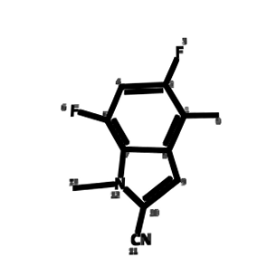 Cc1c(F)cc(F)c2c1cc(C#N)n2C